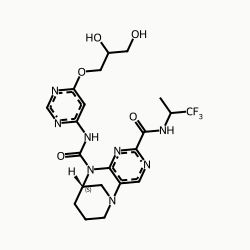 CC(NC(=O)c1ncc2c(n1)N(C(=O)Nc1cc(OCC(O)CO)ncn1)[C@H]1CCCN2C1)C(F)(F)F